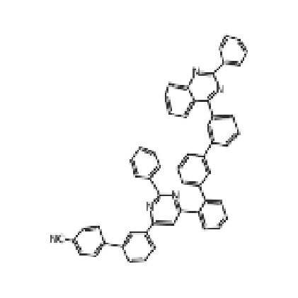 N#Cc1ccc(-c2cccc(-c3cc(-c4ccccc4-c4cccc(-c5cccc(-c6nc(-c7ccccc7)nc7ccccc67)c5)c4)nc(-c4ccccc4)n3)c2)cc1